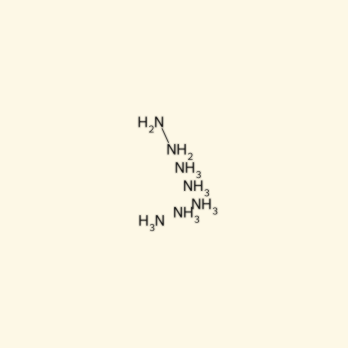 N.N.N.N.N.NN